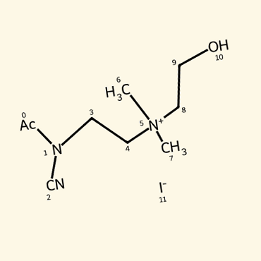 CC(=O)N(C#N)CC[N+](C)(C)CCO.[I-]